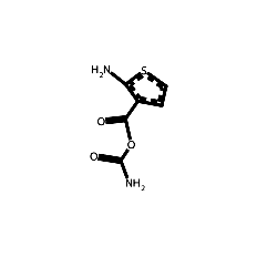 NC(=O)OC(=O)c1ccsc1N